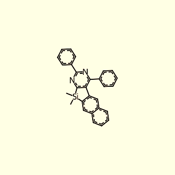 C[Si]1(C)c2cc3ccccc3cc2-c2c(-c3ccccc3)nc(-c3ccccc3)nc21